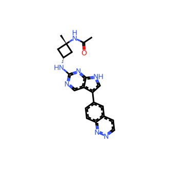 CC(=O)N[C@]1(C)C[C@H](Nc2ncc3c(-c4ccc5nnccc5c4)c[nH]c3n2)C1